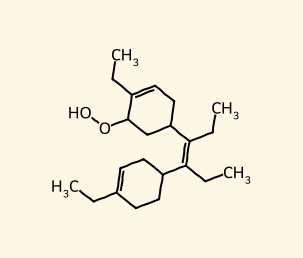 CCC1=CCC(C(CC)=C(CC)C2CC=C(CC)C(OO)C2)CC1